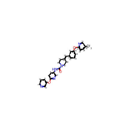 O=C(Nc1ccc(Oc2cccnc2)nc1)N1CCC(=Cc2cccc(Oc3ccc(C(F)(F)F)cn3)c2)CC1